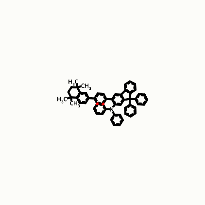 CC1(C)CCC(C)(C)c2cc(-c3ccc(-c4cc5c(cc4N(c4ccccc4)c4ccccc4)C(c4ccccc4)(c4ccccc4)c4ccccc4-5)cc3)ccc21